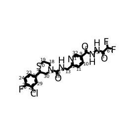 O=C(NNC(=O)C(F)F)c1ccc(CNC(=O)N2CCSC(c3ccc(F)c(Cl)c3)C2)nc1